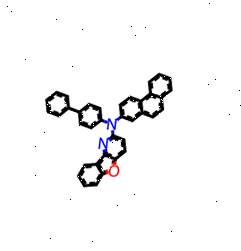 c1ccc(-c2ccc(N(c3ccc4c(ccc5ccccc54)c3)c3ccc4oc5ccccc5c4n3)cc2)cc1